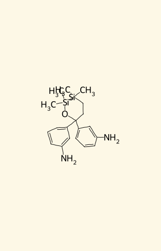 C[Si]1(C)CCC(c2cccc(N)c2)(c2cccc(N)c2)O[Si]1(C)C